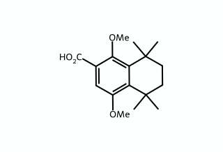 COc1cc(C(=O)O)c(OC)c2c1C(C)(C)CCC2(C)C